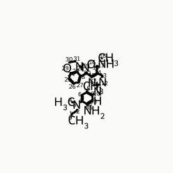 CCCN(C)c1cc(C)c(Nc2ncc(C(=O)NC)c(-c3nn4c5c(cccc35)OCC4)n2)cc1N